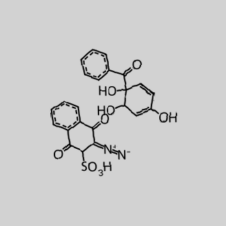 O=C(c1ccccc1)C1(O)C=CC(O)=CC1O.[N-]=[N+]=C1C(=O)c2ccccc2C(=O)C1S(=O)(=O)O